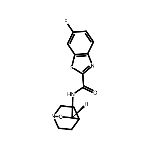 O=C(N[C@H]1CN2CCC1CC2)c1nc2ccc(F)cc2s1